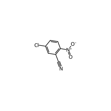 N#Cc1cc(Cl)ccc1[N+](=O)[O-]